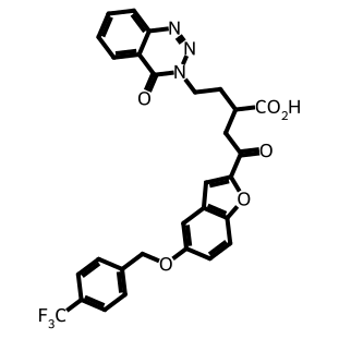 O=C(CC(CCn1nnc2ccccc2c1=O)C(=O)O)c1cc2cc(OCc3ccc(C(F)(F)F)cc3)ccc2o1